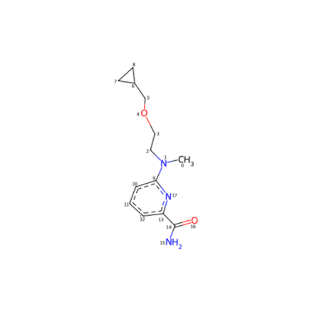 CN(CCOCC1CC1)c1cc[c]c(C(N)=O)n1